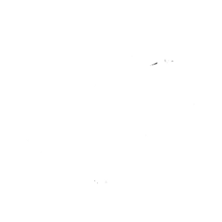 C=CCC1(CC=C)O[C@H](Oc2ccc(CCNC(C)=O)c(-c3cccc(F)c3)c2)[C@H](O)[C@H](O)[C@H]1OC